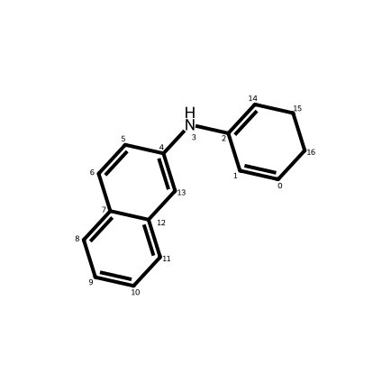 C1=CC(Nc2ccc3ccccc3c2)=CCC1